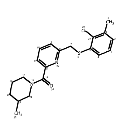 Cc1cccc(SCc2cccc(C(=O)N3CCCC(C)C3)n2)c1Cl